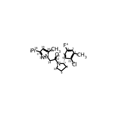 Cc1cc(F)cc([C@@H]2CCCN2C(=O)Cn2nc(C(C)C)cc2C)c1Cl